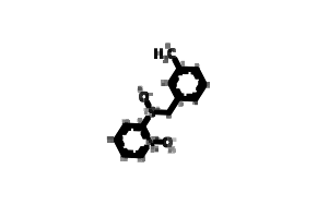 Cc1cccc(C[S+]([O-])c2cccc[n+]2[O-])c1